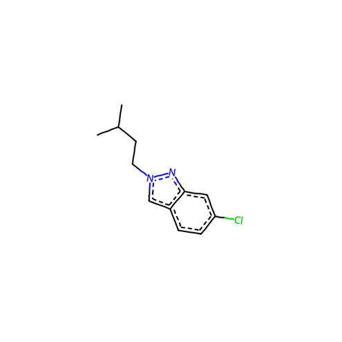 CC(C)CCn1cc2ccc(Cl)cc2n1